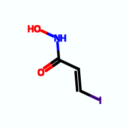 O=C(/C=C/I)NO